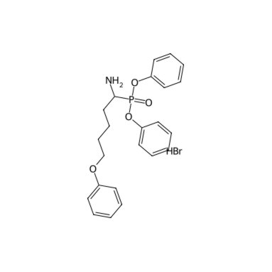 Br.NC(CCCCOc1ccccc1)P(=O)(Oc1ccccc1)Oc1ccccc1